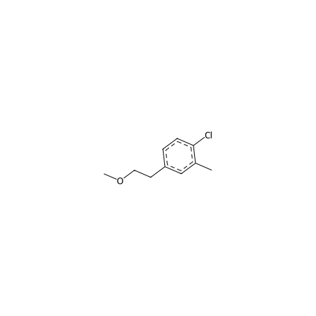 COCCc1ccc(Cl)c(C)c1